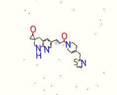 O=C(/C=C/c1cnc2c(c1)CC1(CN2)CC1=O)N1CC=C(Cc2nccs2)CC1